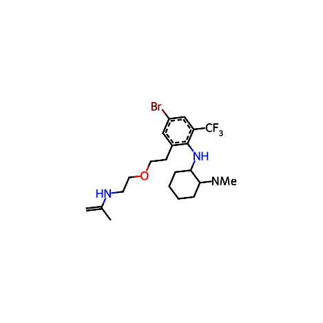 C=C(C)NCCOCCc1cc(Br)cc(C(F)(F)F)c1NC1CCCCC1NC